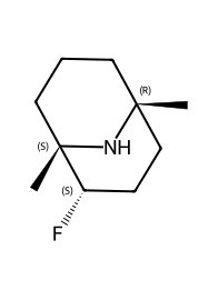 C[C@]12CCC[C@](C)(N1)[C@@H](F)CC2